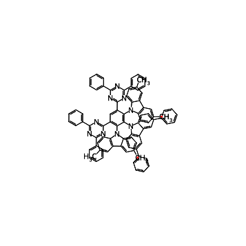 Cc1ccc2c(c1)c1cc(C)ccc1n2-c1c(-c2nc(-c3ccccc3)nc(-c3ccccc3)n2)cc(-c2nc(-c3ccccc3)nc(-c3ccccc3)n2)c(-n2c3ccc(C)cc3c3cc(C)ccc32)c1-n1c2ccc(-c3ccccc3)cc2c2cc(-c3ccccc3)ccc21